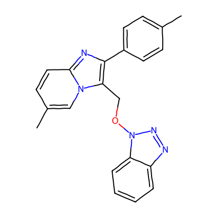 Cc1ccc(-c2nc3ccc(C)cn3c2COn2nnc3ccccc32)cc1